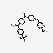 N=C(c1ccc(C(F)(F)F)cc1)C1CCN(C(=O)C2CCN(Cc3cnc(N)nc3)CC2)CC1